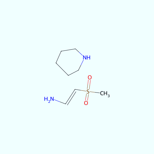 C1CCNCC1.CS(=O)(=O)C=CN